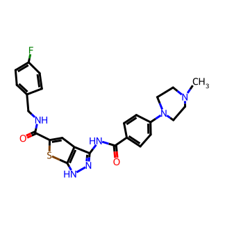 CN1CCN(c2ccc(C(=O)Nc3n[nH]c4sc(C(=O)NCc5ccc(F)cc5)cc34)cc2)CC1